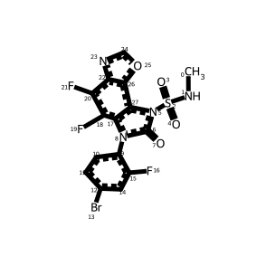 CNS(=O)(=O)n1c(=O)n(-c2ccc(Br)cc2F)c2c(F)c(F)c3ncoc3c21